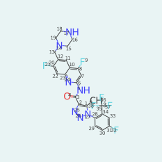 Cc1c(C(=O)Nc2cc(F)c3cc(CN4CCNCC4)c(F)cc3n2)nnn1-c1ccc(F)cc1C(F)(F)F